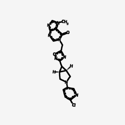 Cn1cnc2ncn(Cc3nc(C4[C@H]5CN(c6ccc(Cl)nc6)C[C@@H]45)no3)c(=O)c21